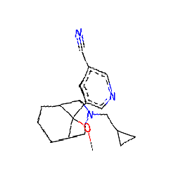 COC1(c2cncc(C#N)c2)C2CCCC1CN(CC1CC1)C2